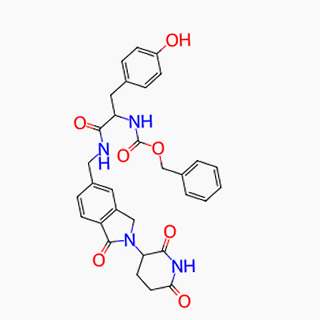 O=C1CCC(N2Cc3cc(CNC(=O)C(Cc4ccc(O)cc4)NC(=O)OCc4ccccc4)ccc3C2=O)C(=O)N1